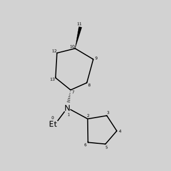 CCN(C1CCCC1)[C@H]1CC[C@H](C)CC1